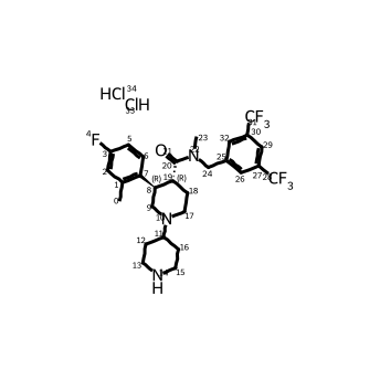 Cc1cc(F)ccc1[C@@H]1CN(C2CCNCC2)CC[C@H]1C(=O)N(C)Cc1cc(C(F)(F)F)cc(C(F)(F)F)c1.Cl.Cl